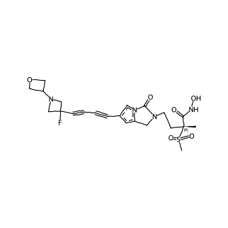 C[C@@](CCN1Cc2cc(C#CC#CC3(F)CN(C4COC4)C3)cn2C1=O)(C(=O)NO)S(C)(=O)=O